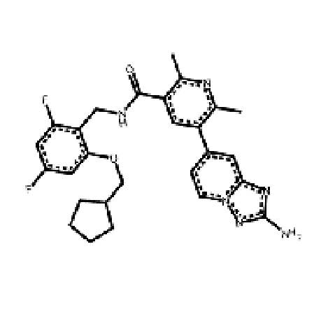 Cc1nc(C)c(-c2ccn3nc(N)nc3c2)cc1C(=O)NCc1c(F)cc(F)cc1OCC1CCCC1